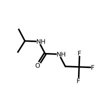 CC(C)NC(=O)NCC(F)(F)F